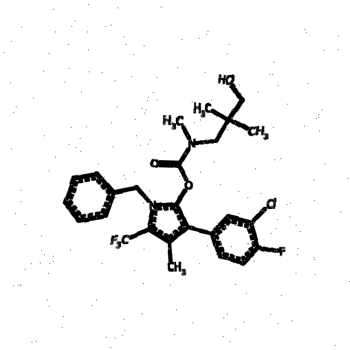 Cc1c(-c2ccc(F)c(Cl)c2)c(OC(=O)N(C)CC(C)(C)CO)n(Cc2ccccc2)c1C(F)(F)F